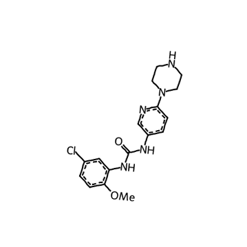 COc1ccc(Cl)cc1NC(=O)Nc1ccc(N2CCNCC2)nc1